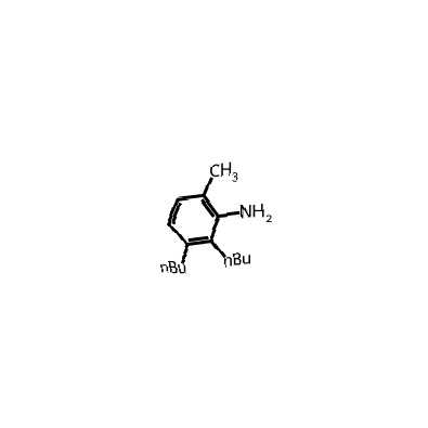 CCCCc1ccc(C)c(N)c1CCCC